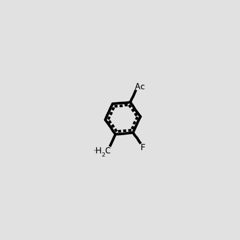 [CH2]c1ccc(C(C)=O)cc1F